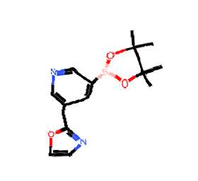 CC1(C)OB(c2cncc(-c3ncco3)c2)OC1(C)C